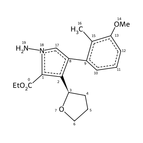 CCOC(=O)c1c([C@H]2CCCO2)c(-c2cccc(OC)c2C)cn1N